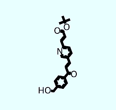 CC(C)(C)OC(=O)C=Cc1ccc(C=CC(=O)c2ccc(CO)cc2)cn1